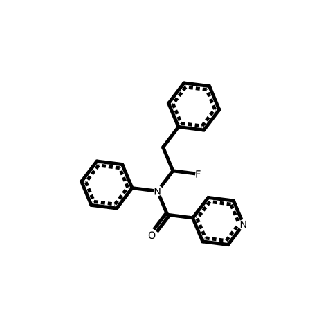 O=C(c1ccncc1)N(c1ccccc1)C(F)Cc1ccccc1